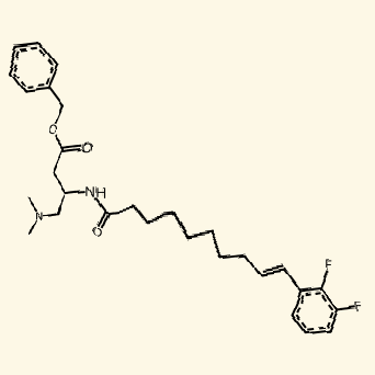 CN(C)C[C@@H](CC(=O)OCc1ccccc1)NC(=O)CCCCCCC/C=C/c1cccc(F)c1F